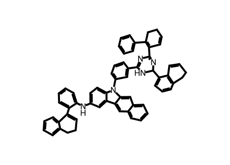 C1=CC(C2=NC(c3cccc4c3C=CCC4)NC(c3cccc(-n4c5ccc(Nc6ccccc6C6=CCCc7ccccc76)cc5c5cc6ccccc6cc54)c3)=N2)=C(c2ccccc2)CC1